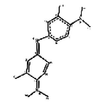 CC1=C/C(=N/c2ccc(N(C)C)c(C)c2)C=CC1=[N+](C)C